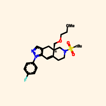 CCCCS(=O)(=O)N1CCC2=Cc3c(cnn3-c3ccc(F)cc3)C[C@]2(COCCOC)C1